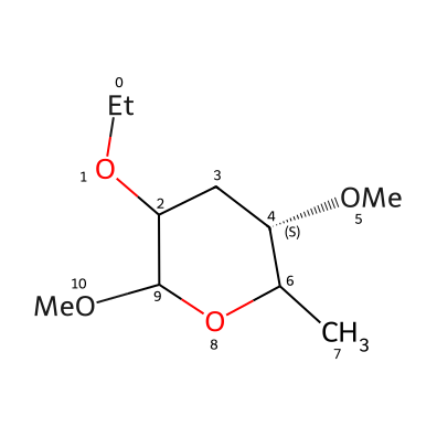 CCOC1C[C@H](OC)C(C)OC1OC